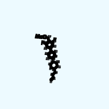 C=CCC[C@H]1CC[C@H](c2ccc(-c3cc(F)c(COC)c(F)c3)cc2)CC1